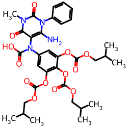 CC(C)COC(=O)Oc1cc(N(C(=O)O)c2c(N)n(-c3ccccc3)c(=O)n(C)c2=O)cc(OC(=O)OCC(C)C)c1OC(=O)OCC(C)C